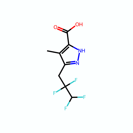 Cc1c(CC(F)(F)C(F)F)n[nH]c1C(=O)O